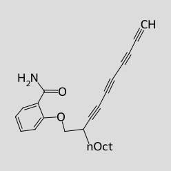 C#CC#CC#CC#CC(CCCCCCCC)COc1ccccc1C(N)=O